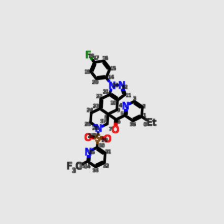 CCc1ccnc(C(=O)C23Cc4cnn(-c5ccc(F)cc5)c4C=C2CCN(S(=O)(=O)c2cccc(C(F)(F)F)n2)C3)c1